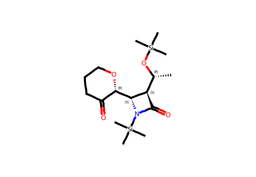 C[C@@H](O[Si](C)(C)C)[C@H]1C(=O)N([Si](C)(C)C)[C@@H]1[C@H]1OCCCC1=O